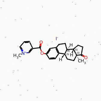 C[n+]1cccc(C(=O)Oc2ccc3c(c2)CC[C@@H]2[C@@H]3CC[C@]3(C)C(=O)CC[C@@H]23)c1.[I-]